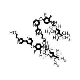 COCCn1cc(-c2cc(Oc3ccc(NC(=O)Nc4cc(C(C)(C)C)nn4C)c(F)c3F)ccn2)cn1.Cn1nc(C(C)(C)C)cc1NC(=O)Nc1ccc(Oc2ccnc(-c3cnn(CCO)c3)c2)c(F)c1F